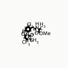 COC(=O)C(C)N/N=C/c1cc(-n2c(=O)cc(C(F)(F)F)n(C)c2=O)c(F)cc1Cl